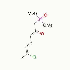 COP(=O)(CC(=O)CCC=C(C)Cl)OC